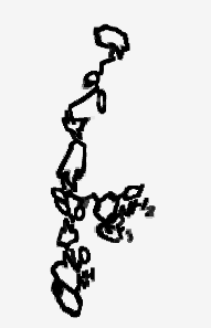 Nc1c(Cl)cc(C[C@@H](OC(=O)N2CCC(N3CCc4ccccc4NC3=O)CC2)C(=O)N2CCC(N3CCN(CC(=O)OCCCN4CCCCC4)CC3)CC2)cc1C(F)(F)F